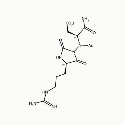 CC(=O)N([C@@H](CC(=O)O)C(N)=O)N1C(=O)N[C@H](CCCNC(=N)N)C1=O